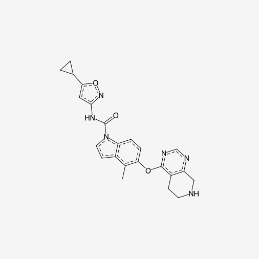 Cc1c(Oc2ncnc3c2CCNC3)ccc2c1ccn2C(=O)Nc1cc(C2CC2)on1